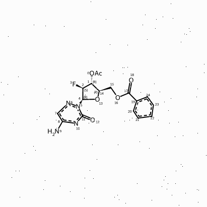 CC(=O)O[C@H]1[C@H](F)[C@H](n2ncc(N)nc2=O)O[C@@H]1COC(=O)c1ccccc1